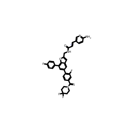 Nc1ccc(/C=C/C(=O)NCc2cc3cc(-c4ccc(C(=S)N5CCC(F)(F)CC5)cc4F)cc(-c4ccc(F)cc4)c3o2)cn1